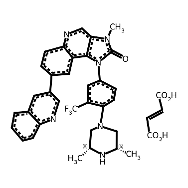 C[C@@H]1CN(c2ccc(-n3c(=O)n(C)c4cnc5ccc(-c6cnc7ccccc7c6)cc5c43)cc2C(F)(F)F)C[C@H](C)N1.O=C(O)C=CC(=O)O